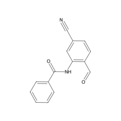 N#Cc1ccc(C=O)c(NC(=O)c2ccccc2)c1